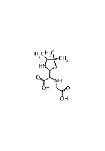 CC1NC(C(NCC(=O)O)C(=O)O)SC1(C)C